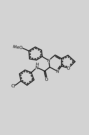 COc1ccc(N2C=c3ccoc3=NC2C(=O)Nc2ccc(Cl)cc2)cc1